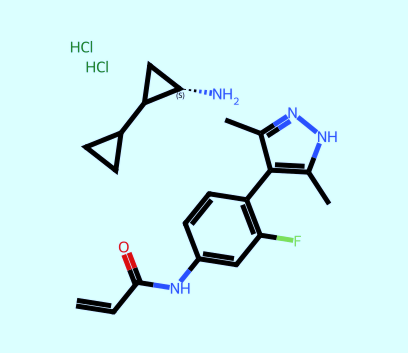 C=CC(=O)Nc1ccc(-c2c(C)n[nH]c2C)c(F)c1.Cl.Cl.N[C@H]1CC1C1CC1